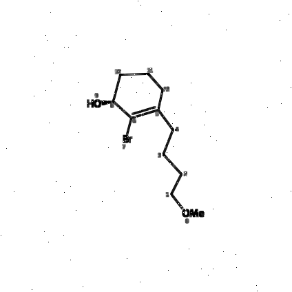 COCCCCC1=C(Br)[C@@H](O)CCC1